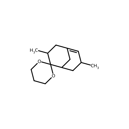 CC1C=C2CC(C)C3(OCCCO3)C(C2)C1